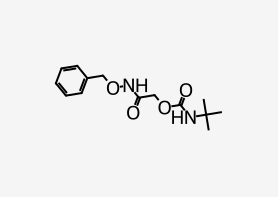 CC(C)(C)NC(=O)OCC(=O)NOCc1ccccc1